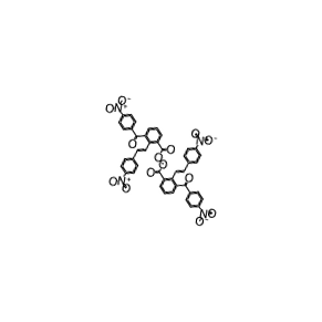 O=C(OOC(=O)c1cccc(C(=O)c2ccc([N+](=O)[O-])cc2)c1C=Cc1ccc([N+](=O)[O-])cc1)c1cccc(C(=O)c2ccc([N+](=O)[O-])cc2)c1C=Cc1ccc([N+](=O)[O-])cc1